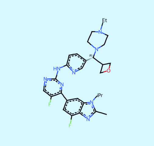 CCN1CCN([C@@H](c2ccc(Nc3ncc(F)c(-c4cc(F)c5nc(C)n(C(C)C)c5c4)n3)nc2)C2COC2)CC1